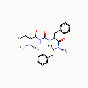 CC(C)C[C@@H](C(=O)NC(=O)N(C)[C@@H](Cc1ccccc1)C(=O)N(C)CCc1ccccc1)N(C)C